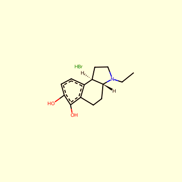 Br.CCN1CC[C@@H]2c3ccc(O)c(O)c3CC[C@H]21